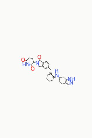 O=C1CCC(N2Cc3cc(C[C@H]4CCCC[C@@H]4NC4CCc5cn[nH]c5C4)ccc3C2=O)C(=O)N1